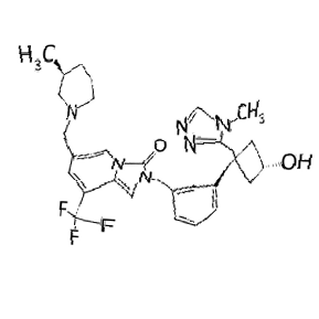 C[C@H]1CCCN(Cc2cc(C(F)(F)F)c3cn(-c4cccc([C@]5(c6nncn6C)C[C@@H](O)C5)c4)c(=O)n3c2)C1